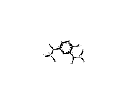 CC(c1ccc(S)c(C(C)N(C)C)c1)N(C)C